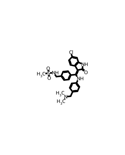 CN(C)Cc1ccc(N/C(=C2\C(=O)Nc3cc(Cl)ccc32)c2ccc(CNS(C)(=O)=O)cc2)cc1